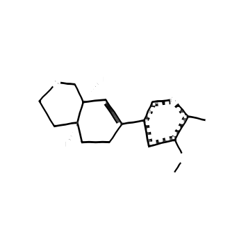 COc1cc(C2=C[C@@H]3CNCC[C@@H]3CC2)cnc1C